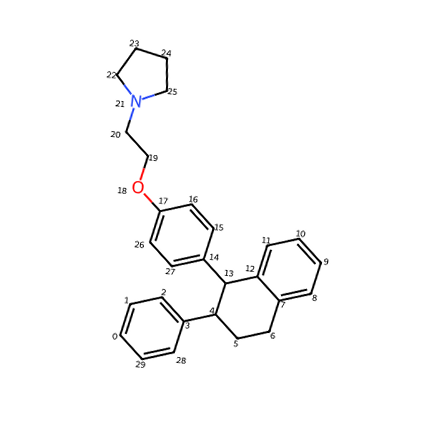 c1ccc(C2CCc3ccccc3C2c2ccc(OCCN3CCCC3)cc2)cc1